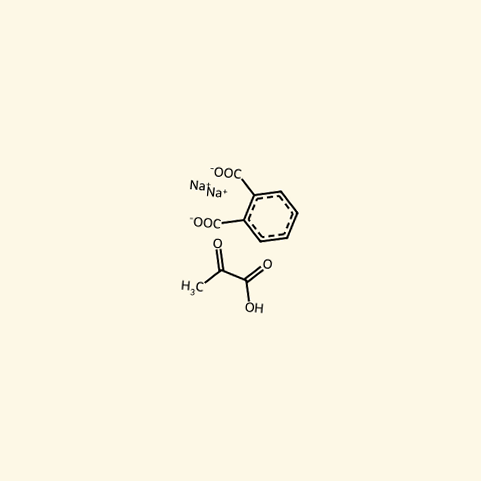 CC(=O)C(=O)O.O=C([O-])c1ccccc1C(=O)[O-].[Na+].[Na+]